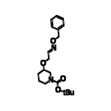 CC(C)(C)OC(=O)N1CCCC(OC/C=N/OCc2ccccc2)C1